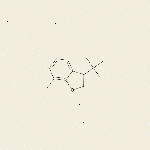 Cc1cccc2c(C(C)(C)C)coc12